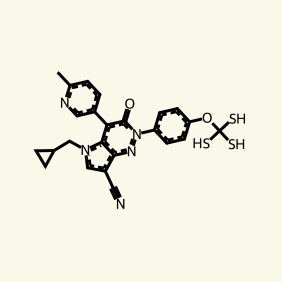 Cc1ccc(-c2c(=O)n(-c3ccc(OC(S)(S)S)cc3)nc3c(C#N)cn(CC4CC4)c23)cn1